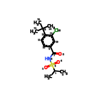 CC(C)S(=O)(=O)NC(=O)c1ccc(C(C)(C)C)c(Cl)c1